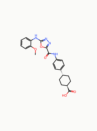 COc1ccccc1Nc1nnc(C(=O)Nc2ccc([C@H]3CC[C@H](C(=O)O)CC3)cc2)o1